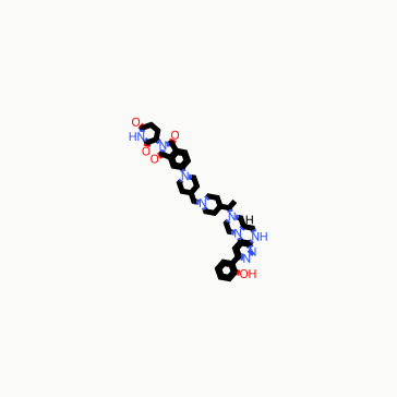 CC(C1CCN(CC2CCN(c3ccc4c(c3)C(=O)N(C3CCC(=O)NC3=O)C4=O)CC2)CC1)N1CCN2c3cc(-c4ccccc4O)nnc3NC[C@H]2C1